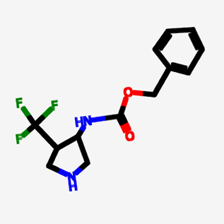 O=C(NC1CNCC1C(F)(F)F)OCc1ccccc1